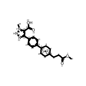 COC(=O)CCC12CCC(c3ccc(-c4nnn(C)c4C(=O)O)cc3)(CC1)CO2